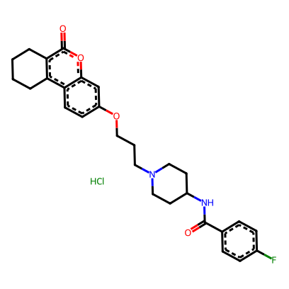 Cl.O=C(NC1CCN(CCCOc2ccc3c4c(c(=O)oc3c2)CCCC4)CC1)c1ccc(F)cc1